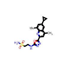 Cc1cc(-c2nnc(NCCS(N)(=O)=O)o2)nc2c(C(C)(C)C)cc(C3CC3)cc12